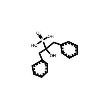 O=P(O)(O)C(O)(Cc1ccccc1)Cc1ccccc1